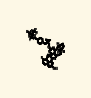 C#Cc1c(F)ccc2cc(O)cc(-c3nc4c5c(nc(OCC6(CN7CCC(COC(C(F)(F)F)(C(F)(F)F)C(F)(F)F)CC7)CC6)nc5c3F)N3C[C@H]5CC[C@H](N5)[C@H]3CC4)c12